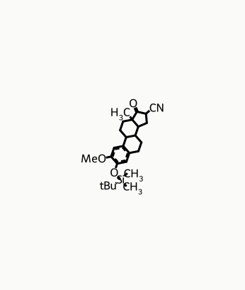 COc1cc2c(cc1O[Si](C)(C)C(C)(C)C)CCC1C2CCC2(C)C(=O)C(C#N)CC12